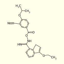 CCOC1=CCc2c(C(=N)NOC(=O)c3ccc(OC(C)C)c(C#N)c3)cccc21